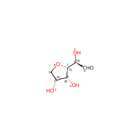 O=C[C@H](O)[C@H]1OC[C@@H](O)[C@H]1O